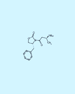 CCCC[C@@H](C)CC(=O)N1C(=O)OC[C@H]1Cc1ccccc1